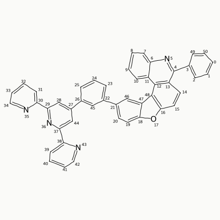 c1ccc(-c2nc3ccccc3c3c2ccc2oc4ccc(-c5cccc(-c6cc(-c7ccccn7)nc(-c7ccccn7)c6)c5)cc4c23)cc1